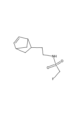 O=S(=O)(CF)NCCC1CC2C=CC1C2